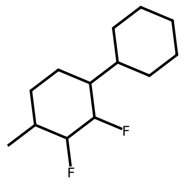 CC1CCC(C2CCCCC2)C(F)C1F